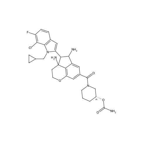 NC(=O)O[C@@H]1CCCN(C(=O)c2cc3c4c(c2)C(N)C(c2cc5ccc(F)c(Cl)c5n2CC2CC2)C4(N)CCO3)C1